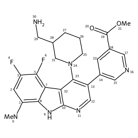 CNc1cc(F)c(F)c2c1[nH]c1ncc(-c3cncc(C(=O)OC)c3)c(N3CCCC(CN)C3)c12